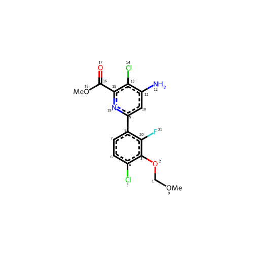 COCOc1c(Cl)ccc(-c2cc(N)c(Cl)c(C(=O)OC)n2)c1F